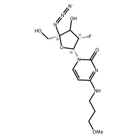 COCCCNc1ccn([C@@H]2O[C@@](CO)(N=[N+]=[N-])C(O)[C@@H]2F)c(=O)n1